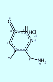 Cc1cc(=O)[nH]nc1CN.Cl